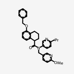 COc1ccc(CN(C(=O)C2CCCc3c(OCc4ccccc4)cccc32)c2ccc(C(C)C)nc2)cn1